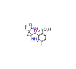 C=C[C@@]1(C(N)=O)C[C@]1(N)C(=O)c1cc(C)ccc1S(=O)(=O)O